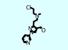 CN(CCCl)CCc1nn(-c2cccnc2)cc1C=O